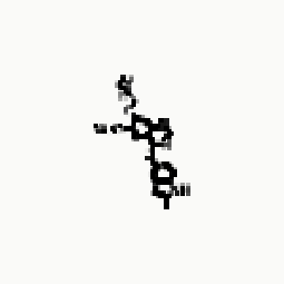 COc1cc2c(Oc3ccc4[nH]c(C)cc4c3)ncnc2cc1OC[C@@H]1CO1